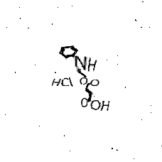 Cl.O=C(O)/C=C/C(=O)OCCNc1ccccc1